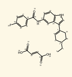 CCN1CC=C(c2c[nH]c3ccc(NC(=O)c4ccc(F)cc4)cc23)CC1.O=C(O)C=CC(=O)O